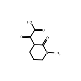 CN1CCCC(C(=O)C(=O)O)C1=O